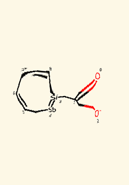 O=C([O-])[Si]1=[Sb][CH]=CC=C1